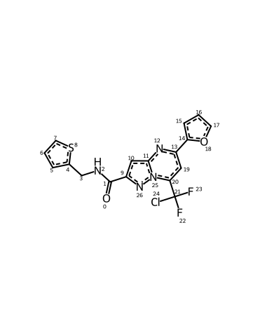 O=C(NCc1cccs1)c1cc2nc(-c3ccco3)cc(C(F)(F)Cl)n2n1